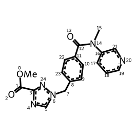 COC(=O)c1ncn(Cc2ccc(C(=O)N(C)c3cccnc3)cc2)n1